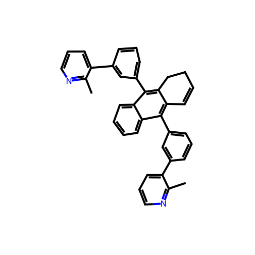 Cc1ncccc1-c1cccc(-c2c3c(c(-c4cccc(-c5cccnc5C)c4)c4ccccc24)CCC=C3)c1